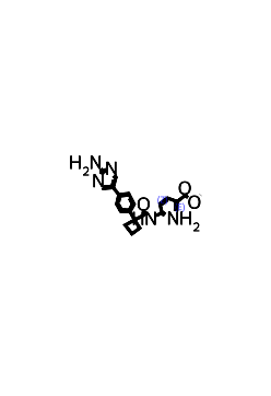 C=C(/C=C\C(=C/N)C(=O)OC)NC(=O)C1(c2ccc(-c3cnc(N)nc3)cc2)CCC1